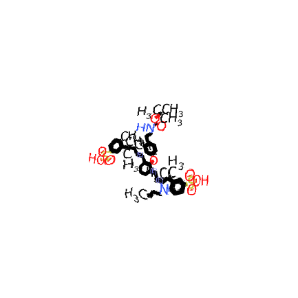 C=C(/C=C/C1=C(Oc2ccc(CCNC(=O)OC(C)(C)C)cc2)C(=C/C=C2/N(CCCC)c3ccc(S(=O)(=O)O)cc3C2(C)C)/CCC1)C(C)(C)c1cc(S(=O)(=O)O)ccc1C